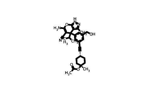 CC(=O)O[C@]1(C)CC[C@H](C#Cc2cc(CO)cc(C3(C(C)C)C(C#N)=C(N)Oc4[nH]nc(C)c43)c2)CC1